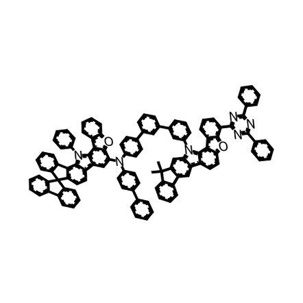 CC1(C)c2ccccc2-c2cc3c4ccc5oc6c(-c7nc(-c8ccccc8)nc(-c8ccccc8)n7)cccc6c5c4n(-c4cccc(-c5cccc(-c6ccc(N(c7ccc(-c8ccccc8)cc7)c7cc8c9ccc%10c(c9n(-c9ccccc9)c8c8c7oc7ccccc78)-c7ccccc7C%107c8ccccc8-c8ccccc87)cc6)c5)c4)c3cc21